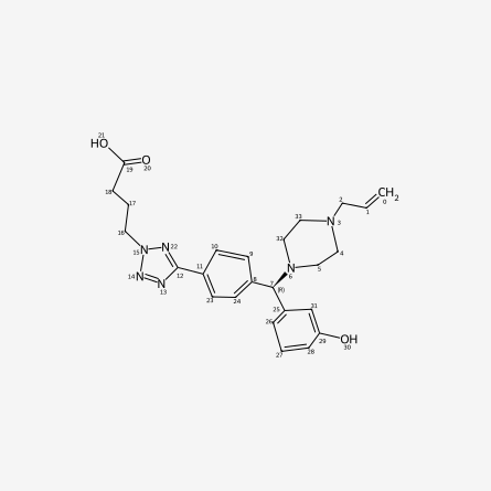 C=CCN1CCN([C@H](c2ccc(-c3nnn(CCCC(=O)O)n3)cc2)c2cccc(O)c2)CC1